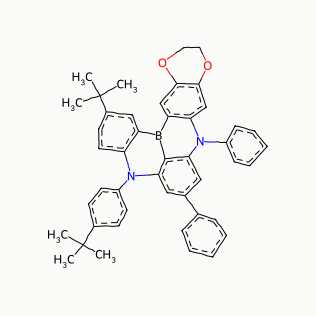 CC(C)(C)c1ccc(N2c3ccc(C(C)(C)C)cc3B3c4cc5c(cc4N(c4ccccc4)c4cc(-c6ccccc6)cc2c43)OCCO5)cc1